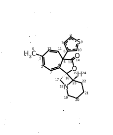 CC1=CC=C2C(c3ccsc3)(C=C1)C(=O)O[C@]21CN2CCCC[C@H]21